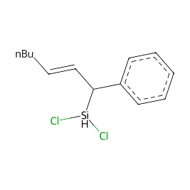 CCCC/C=C/C(c1ccccc1)[SiH](Cl)Cl